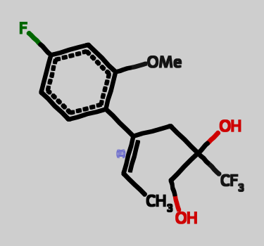 C/C=C(\CC(O)(CO)C(F)(F)F)c1ccc(F)cc1OC